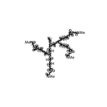 CNC(=O)CCCN1C(=O)CC(SCC(=O)NCCNC(=O)CCN(CCNC(=O)CCN(CCCN=[N+]=[N-])CCC(=O)NCCN(CCC(=O)NCCNC(=O)CSC2CC(=O)N(CCCC(=O)NC)C2=O)CCC(=O)NCCNC(=O)CSC2CC(=O)N(CCCC(=O)NC)C2=O)CCC(=O)NCCNC(=O)CSC2CC(=O)N(CCCC(=O)NC)C2=O)C1=O